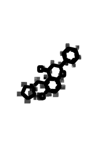 O=C1CC(c2ccccc2)Oc2ccc(O)c(CN3CCCC3)c21